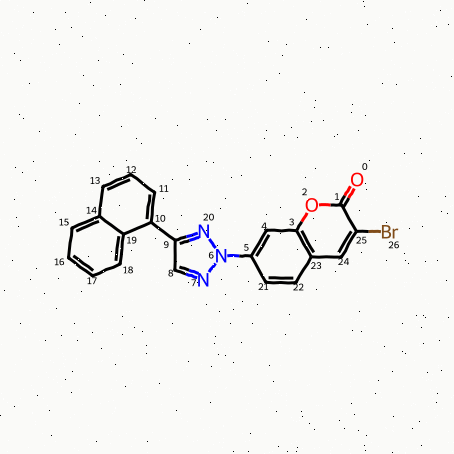 O=c1oc2cc(-n3ncc(-c4cccc5ccccc45)n3)ccc2cc1Br